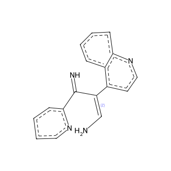 N=C(/C(=C\N)c1ccnc2ccccc12)c1ccccn1